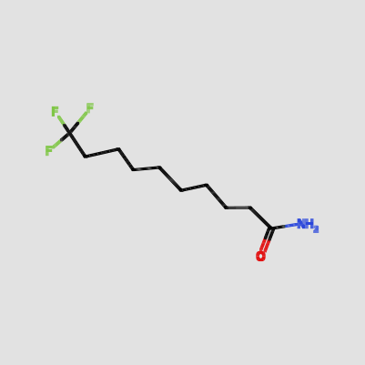 NC(=O)CCCCCCCCC(F)(F)F